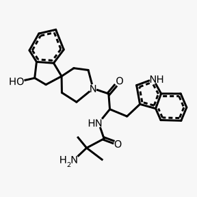 CC(C)(N)C(=O)NC(Cc1c[nH]c2ccccc12)C(=O)N1CCC2(CC1)CC(O)c1ccccc12